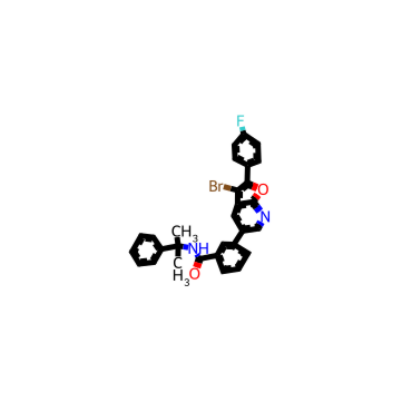 CC(C)(NC(=O)c1cccc(-c2cnc3oc(-c4ccc(F)cc4)c(Br)c3c2)c1)c1ccccc1